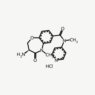 CN(C(=O)c1ccc2c(c1)N(C)C(=O)[C@@H](N)CO2)c1ccncc1.Cl